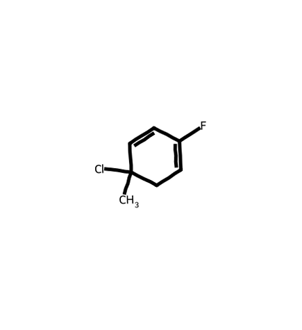 CC1(Cl)C=CC(F)=CC1